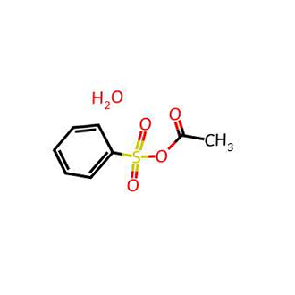 CC(=O)OS(=O)(=O)c1ccccc1.O